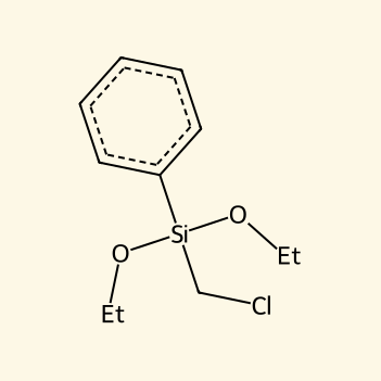 CCO[Si](CCl)(OCC)c1ccccc1